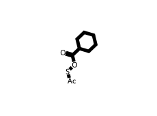 CC(=O)SOC(=O)C1CCCCC1